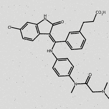 CN(C)CC(=O)N(C)c1ccc(NC(=C2C(=O)Nc3cc(Cl)ccc32)c2cccc(CCC(=O)O)c2)cc1